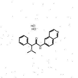 CN(C)C(C(=O)Nc1ccc2cnccc2c1)c1ccccc1.Cl.Cl